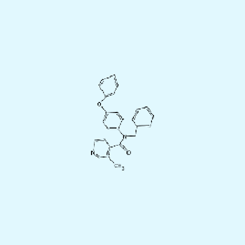 Cc1cnccc1C(=O)N(Cc1ccccc1)c1ccc(Oc2ccccc2)cc1